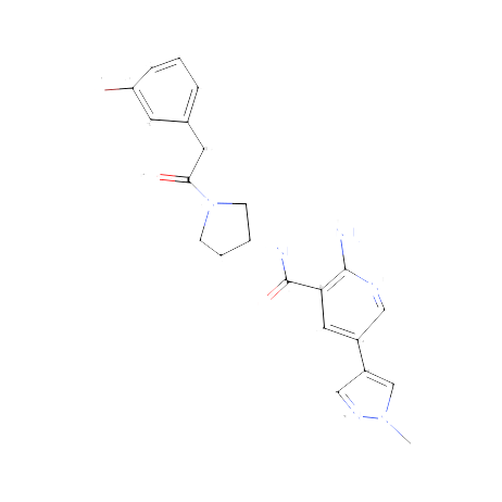 Cn1cc(-c2cnc(N)c(C(=O)N[C@@H]3CCN(C(=O)Cc4cccc(Br)c4)C3)c2)cn1